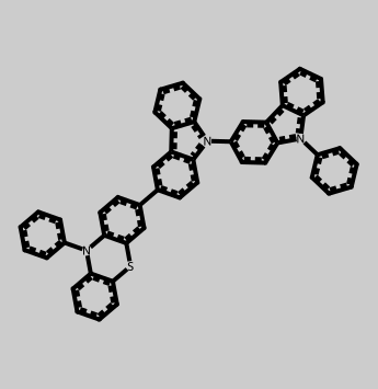 c1ccc(N2c3ccccc3Sc3cc(-c4ccc5c(c4)c4ccccc4n5-c4ccc5c(c4)c4ccccc4n5-c4ccccc4)ccc32)cc1